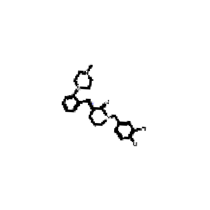 CN1CCN(c2ccccc2/C=C2\CCCN(Cc3ccc(Cl)c(Cl)c3)C2=O)CC1